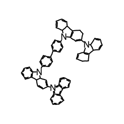 C1=CC2C3=C(C=CCC3)N(C3=CC4=C(CC3)C3C=CC=CC3N4c3ccc(-c4ccc(N5c6ccccc6C6C=CC(n7c8ccccc8c8ccccc87)=CC65)cc4)cc3)C2C=C1